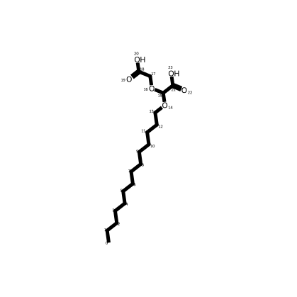 CCCCCCCCCCCCCCOC(OCC(=O)O)C(=O)O